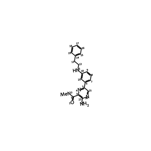 CNC(=O)c1nc(-c2cccc(NCCc3ccccc3)c2)cnc1N